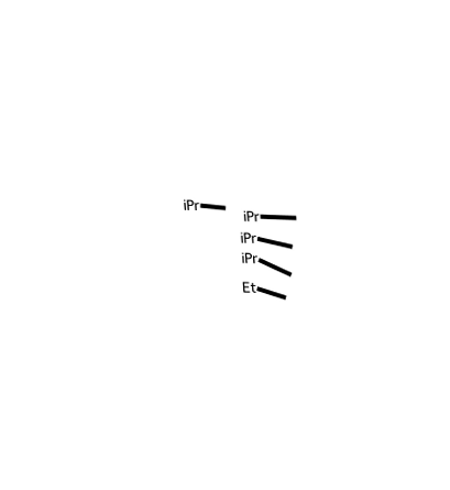 CC(C)C.CC(C)C.CC(C)C.CC(C)C.CCC